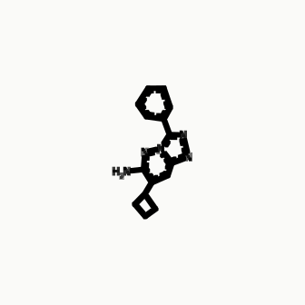 Nc1nn2c(-c3ccccc3)nnc2cc1C1CCC1